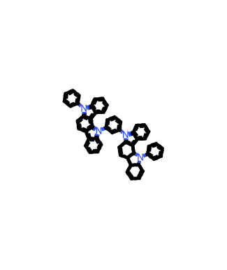 C1=CC2C3C=Cc4c(c5ccccc5n4-c4cccc(-n5c6ccccc6c6ccc7c(c8ccccc8n7-c7ccccc7)c65)c4)C3N(c3ccccc3)C2C=C1